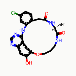 CC(C)[C@H]1NC(=O)Cc2ccc(Cl)cc2Nc2ncnc3cc(O)c(cc23)OCCCNC1=O